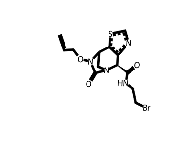 C=CCON1C(=O)N2CC1c1scnc1[C@H]2C(=O)NCCBr